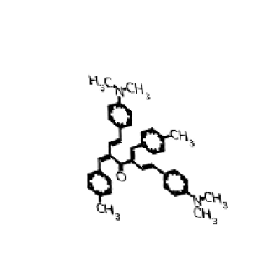 Cc1ccc(C=C(C=Cc2ccc(N(C)C)cc2)C(=O)C(C=Cc2ccc(N(C)C)cc2)=Cc2ccc(C)cc2)cc1